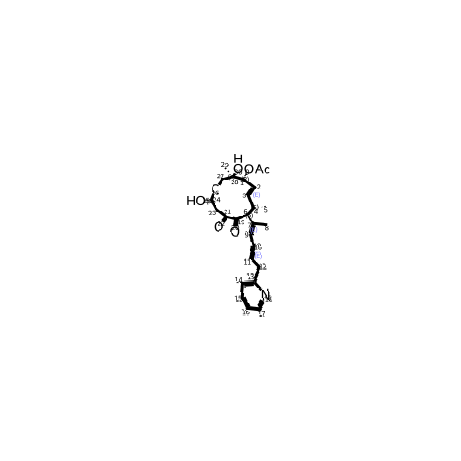 CC(=O)O[C@@H]1/C=C/[C@H](C)[C@@H](/C(C)=C/C=C/Cc2ccccn2)C(=O)C(=O)C[C@H](O)CC[C@@]1(C)O